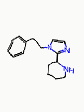 c1ccc(CCn2ccnc2C2CCCCN2)cc1